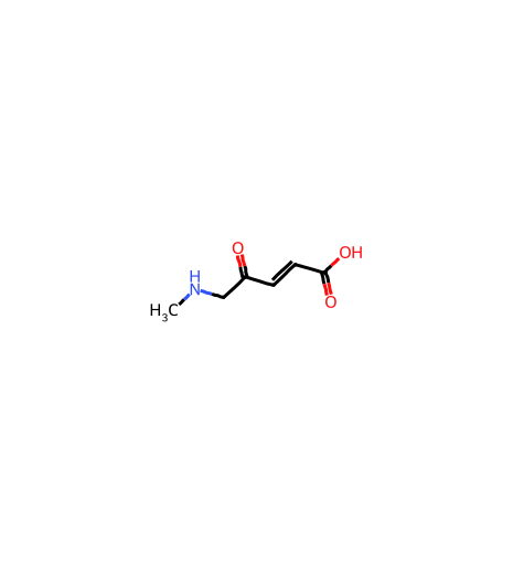 CNCC(=O)C=CC(=O)O